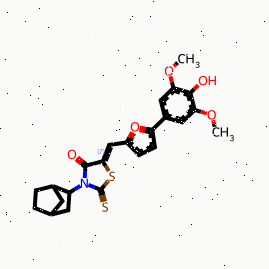 COc1cc(-c2ccc(/C=C3\SC(=S)N(C4CC5CCC4C5)C3=O)o2)cc(OC)c1O